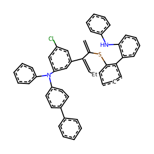 C=C(Sc1ccccc1-c1ccccc1Nc1ccccc1)/C(=C\CC)c1cc(Cl)cc(N(c2ccccc2)c2ccc(-c3ccccc3)cc2)c1